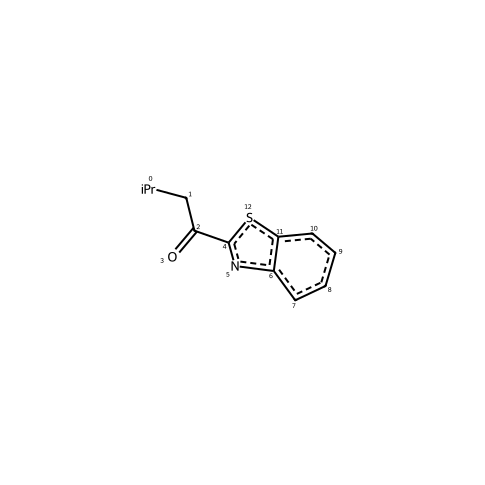 CC(C)CC(=O)c1nc2ccccc2s1